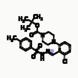 Cc1ccc(S(=O)(=O)N/N=C/c2c(Cl)cccc2N2CCN(C(=O)OC(C)(C)C)CC2)cc1